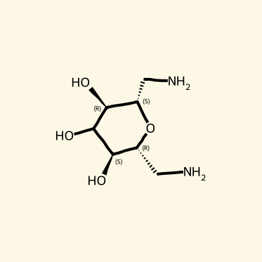 NC[C@@H]1O[C@H](CN)[C@@H](O)C(O)[C@H]1O